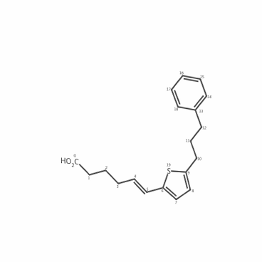 O=C(O)CCCC=Cc1ccc(CCCc2ccccc2)s1